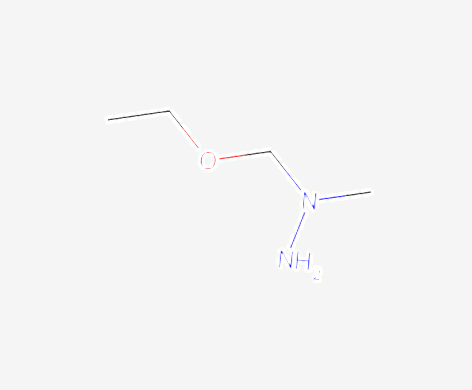 CCOCN(C)N